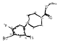 CC(C)(C)OC(=O)N1CCN(c2cc(F)c(Br)cc2F)CC1